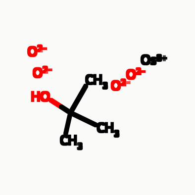 CC(C)(C)O.[O-2].[O-2].[O-2].[O-2].[Os+8]